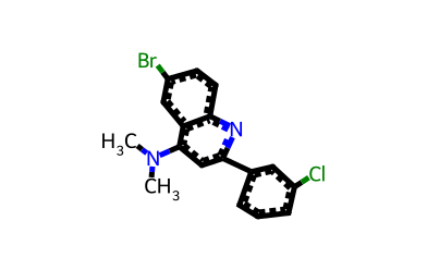 CN(C)c1cc(-c2cccc(Cl)c2)nc2ccc(Br)cc12